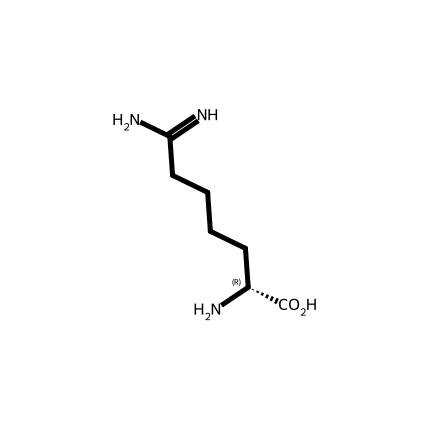 N=C(N)CCCC[C@@H](N)C(=O)O